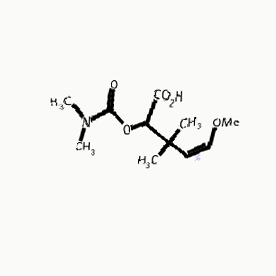 CO/C=C\C(C)(C)C(OC(=O)N(C)C)C(=O)O